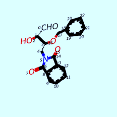 O=C[C@@H](O)[C@@H](CN1C(=O)c2ccccc2C1=O)OCc1ccccc1